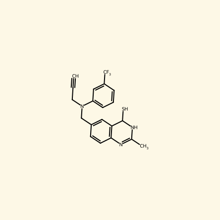 C#CCN(Cc1ccc2c(c1)C(S)NC(C)=N2)c1cccc(C(F)(F)F)c1